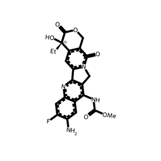 CC[C@@]1(O)C(=O)OCc2c1cc1n(c2=O)Cc2c-1nc1cc(F)c(N)cc1c2NC(=O)OC